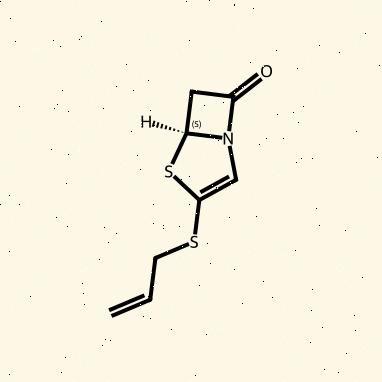 C=CCSC1=CN2C(=O)C[C@@H]2S1